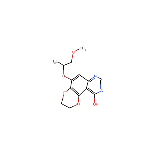 COCC(C)Oc1cc2ncnc(O)c2c2c1OCCO2